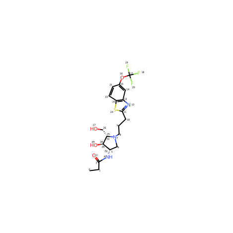 CCC(=O)N[C@H]1CN(CCCc2nc3cc(OC(F)(F)F)ccc3s2)[C@@H](CO)[C@@H]1O